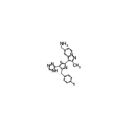 Cc1nn2ccc(CN)cc2c1-c1nc(Cc2ccc(I)cc2)c(-c2nnc[nH]2)s1